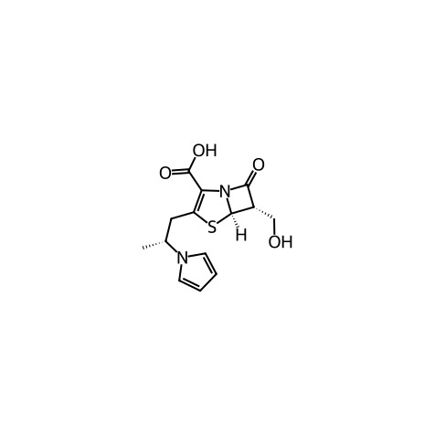 C[C@H](CC1=C(C(=O)O)N2C(=O)[C@H](CO)[C@H]2S1)n1cccc1